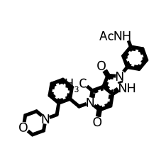 CC(=O)Nc1cccc(-n2[nH]c3cc(=O)n(Cc4ccccc4CN4CCOCC4)c(C)c3c2=O)c1